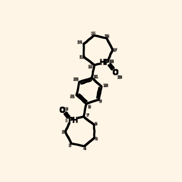 O=[PH]1CCCCCC1c1ccc(C2CCCCC[PH]2=O)cc1